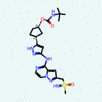 CC(C)(C)NC(=O)O[C@@H]1CC[C@H](c2cc(Nc3nccn4nc(CS(C)(=N)=O)cc34)n[nH]2)C1